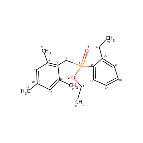 CCOP(=O)(Cc1c(C)cc(C)cc1C)c1ccccc1CC